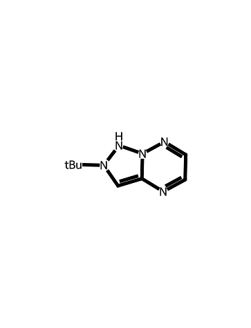 CC(C)(C)N1C=C2N=CC=NN2N1